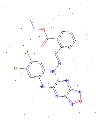 CCOC(=O)c1ccccc1/C=N/Nc1nc2nonc2nc1Nc1ccc(F)c(Cl)c1